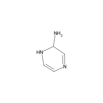 NC1C=NC=CN1